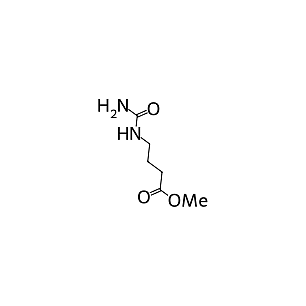 COC(=O)CCCNC(N)=O